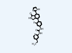 CCc1ccnc(NC(=O)Nc2ccc(-c3ccc(-c4ncc[nH]4)c4c3CNC4=O)c(F)c2)c1